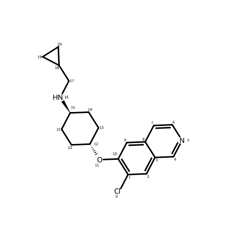 Clc1cc2cnccc2cc1O[C@H]1CC[C@H](NCC2CC2)CC1